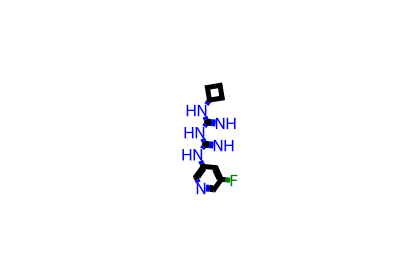 N=C(NC(=N)NC1CCC1)Nc1cncc(F)c1